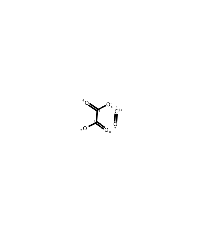 O=C([O-])C(=O)[O-].[C+2]=O